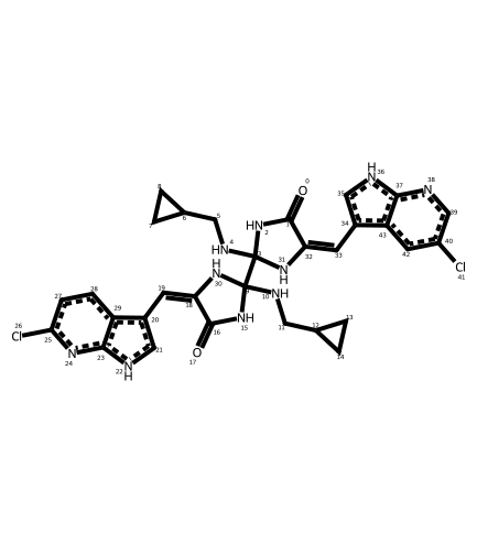 O=C1NC(NCC2CC2)(C2(NCC3CC3)NC(=O)C(=Cc3c[nH]c4nc(Cl)ccc34)N2)NC1=Cc1c[nH]c2ncc(Cl)cc12